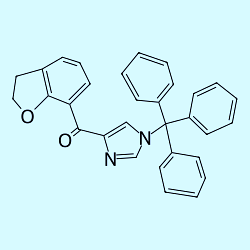 O=C(c1cn(C(c2ccccc2)(c2ccccc2)c2ccccc2)cn1)c1cccc2c1OCC2